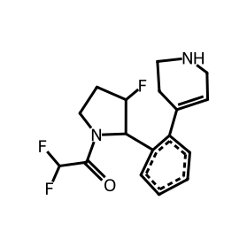 O=C(C(F)F)N1CCC(F)C1c1ccccc1C1=CCNCC1